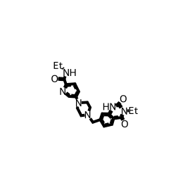 CCNC(=O)c1ccc(N2CCN(Cc3ccc4c(=O)n(CC)c(=O)[nH]c4c3)CC2)cn1